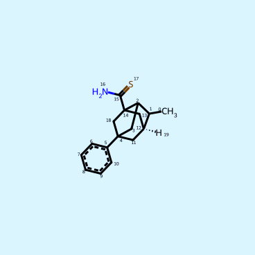 CC1C2CC3(c4ccccc4)C[C@H]1CC2(C(N)=S)C3